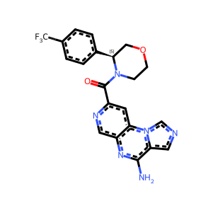 Nc1nc2cnc(C(=O)N3CCOC[C@@H]3c3ccc(C(F)(F)F)cc3)cc2n2cncc12